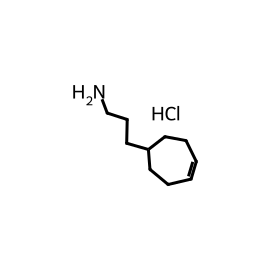 Cl.NCCCC1CCC=CCC1